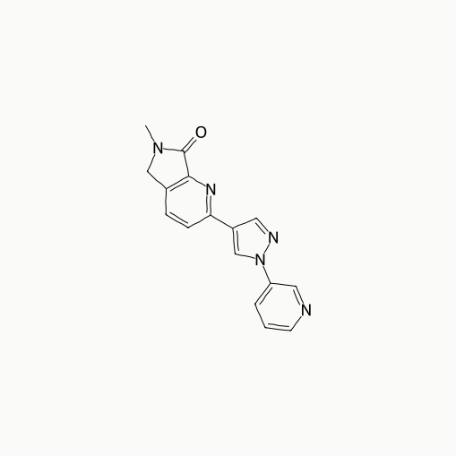 CN1Cc2ccc(-c3cnn(-c4cccnc4)c3)nc2C1=O